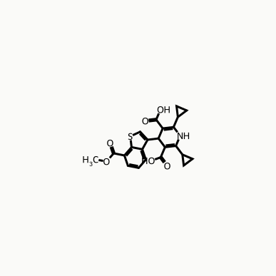 COC(=O)c1cccc2c(C3C(C(=O)O)=C(C4CC4)NC(C4CC4)=C3C(=O)O)csc12